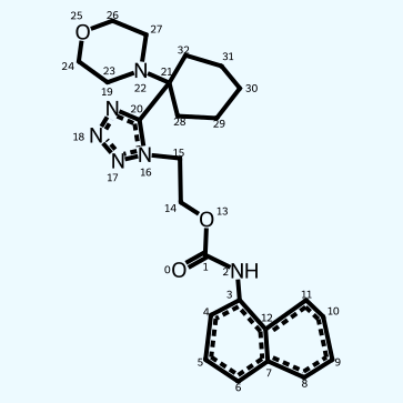 O=C(Nc1cccc2ccccc12)OCCn1nnnc1C1(N2CCOCC2)CCCCC1